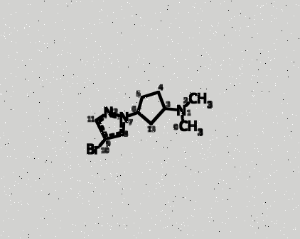 CN(C)C1CCC(n2cc(Br)cn2)C1